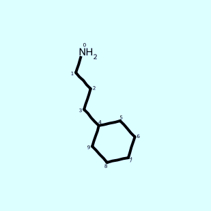 NCCCC1CC[CH]CC1